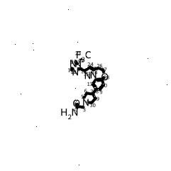 NC(=O)CN1CCC(c2ccc3c(c2)-n2nc(-c4ncnn4CC(F)(F)F)cc2CCO3)CC1